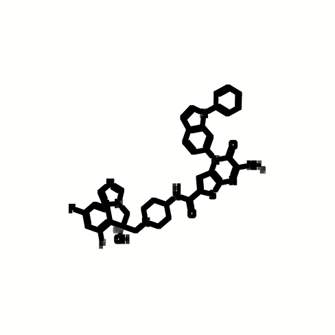 Nc1nc2sc(C(=O)NC3CCN(C[C@](O)(Cn4cncn4)c4ccc(F)cc4F)CC3)cc2n(-c2ccc3ccn(-c4ccccc4)c3c2)c1=O